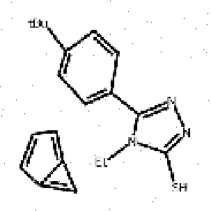 CCn1c(S)nnc1-c1ccc(C(C)(C)C)cc1.c1cc2cc-2c1